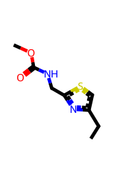 CCc1csc(CNC(=O)OC)n1